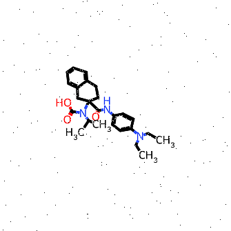 CCN(CC)c1ccc(NC(=O)C2(N(C(=O)O)C(C)C)CCc3ccccc3C2)cc1